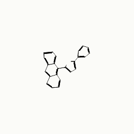 c1ccc(-c2ccc(-c3c4ccccc4cc4ccccc34)s2)cc1